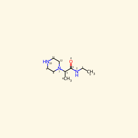 CCNC(=O)C(C)N1CCNCC1